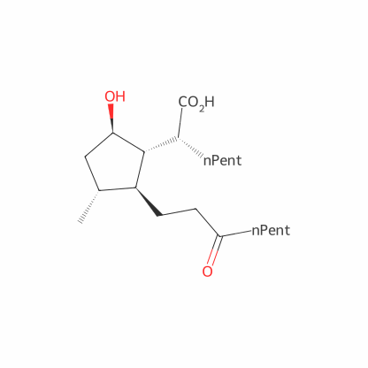 CCCCCC(=O)CC[C@@H]1[C@@H]([C@@H](CCCCC)C(=O)O)[C@H](O)C[C@H]1C